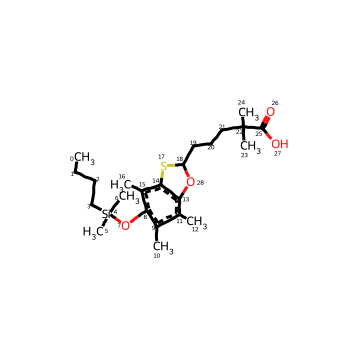 CCCC[Si](C)(C)Oc1c(C)c(C)c2c(c1C)SC(CCCC(C)(C)C(=O)O)O2